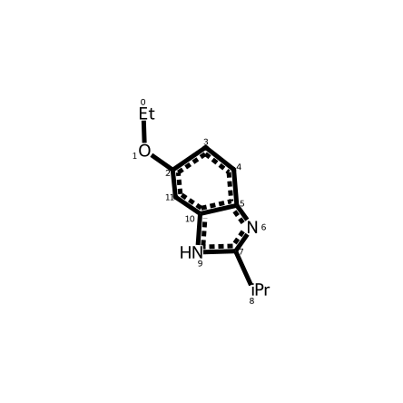 CCOc1ccc2nc(C(C)C)[nH]c2c1